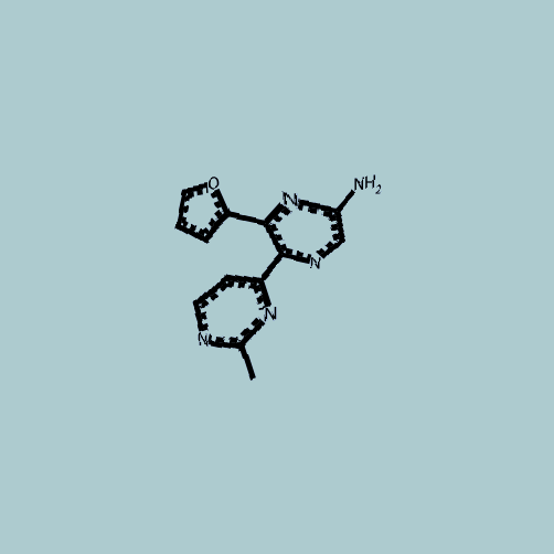 Cc1nccc(-c2ncc(N)nc2-c2ccco2)n1